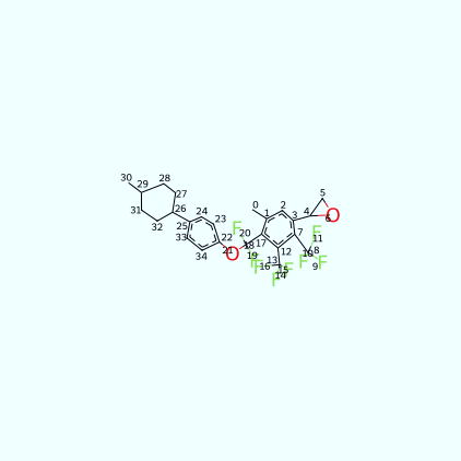 Cc1cc(C2CO2)c(C(F)(F)F)c(C(F)(F)F)c1C(F)(F)Oc1ccc(C2CCC(C)CC2)cc1